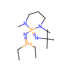 CC[PH](CC)=NP1(=NC(C)(C)C)N(C)CCCN1C